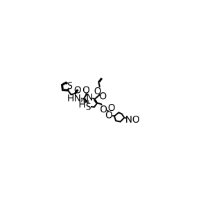 C=CCOC(=O)C1=C(COC(=O)OC2CCC(N=O)CC2)CS[C@@H]2[C@H](NC(=O)Cc3cccs3)C(=O)N12